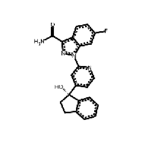 NC(=O)c1nn(-c2cc([C@]3(O)CCc4ccccc43)ccn2)c2cc(F)ccc12